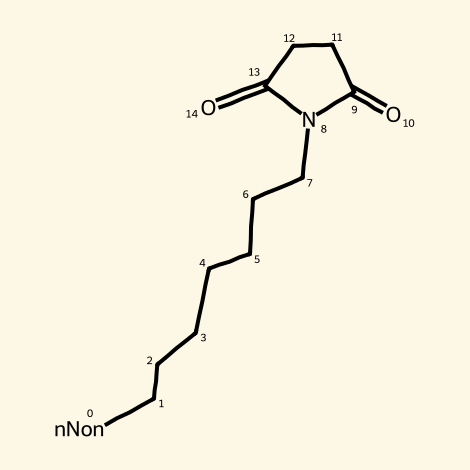 CCCCCCCCCCCCCCCCN1C(=O)CCC1=O